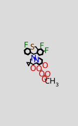 COC(=O)OCOc1c2n(ccc1=O)N([C@H]1c3ccc(F)c(F)c3CSc3c(F)cccc31)CC1(CC1)C2=O